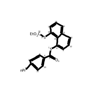 CCCc1ccc(C(=O)Sc2cccc3cccc(SC(=O)OCC)c23)cc1